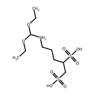 CCOC(OCC)[SiH2]CCCC(CS(=O)(=O)O)S(=O)(=O)O